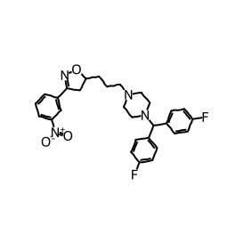 O=[N+]([O-])c1cccc(C2=NOC(CCCN3CCN(C(c4ccc(F)cc4)c4ccc(F)cc4)CC3)C2)c1